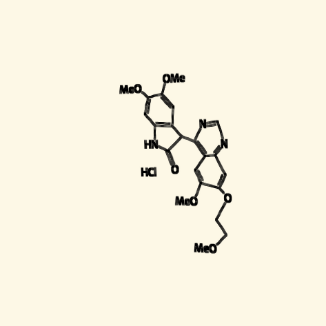 COCCOc1cc2ncnc(C3C(=O)Nc4cc(OC)c(OC)cc43)c2cc1OC.Cl